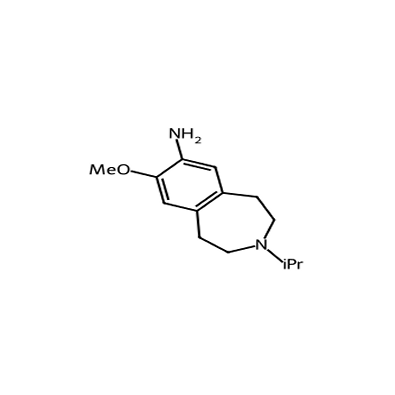 COc1cc2c(cc1N)CCN(C(C)C)CC2